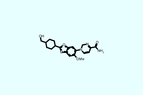 COc1cc2nc(C3CCC(CO)CC3)oc2cc1N1C=CC(C(N)=O)=NC1